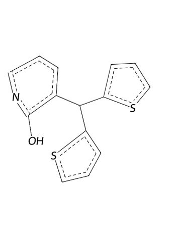 Oc1ncccc1C(c1cccs1)c1cccs1